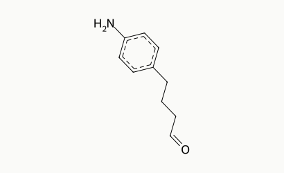 Nc1ccc(CCCC=O)cc1